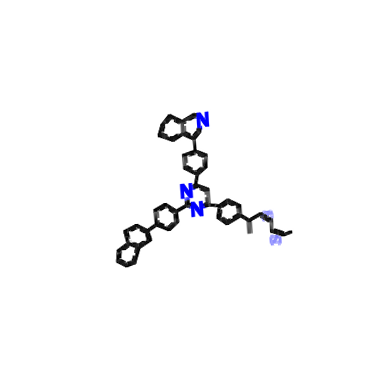 C=C(/C=C\C=C/C)c1ccc(-c2cc(-c3ccc(-c4cncc5ccccc45)cc3)nc(-c3ccc(-c4ccc5ccccc5c4)cc3)n2)cc1